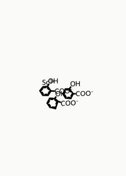 O=C([O-])c1ccccc1O.O=C([O-])c1ccccc1O.O=C([O-])c1ccccc1O.[Sc+3]